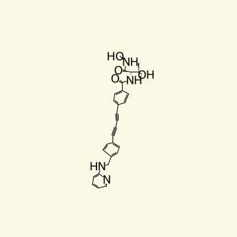 C[C@@H](O)[C@H](NC(=O)c1ccc(C#CC#Cc2ccc(CNc3ccccn3)cc2)cc1)C(=O)NO